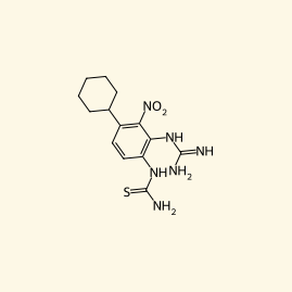 N=C(N)Nc1c(NC(N)=S)ccc(C2CCCCC2)c1[N+](=O)[O-]